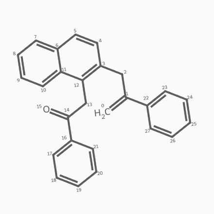 C=C(Cc1ccc2ccccc2c1CC(=O)c1ccccc1)c1ccccc1